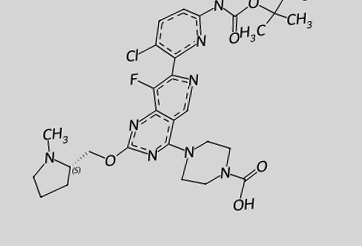 CN1CCC[C@H]1COc1nc(N2CCN(C(=O)O)CC2)c2cnc(-c3nc(NC(=O)OC(C)(C)C)ccc3Cl)c(F)c2n1